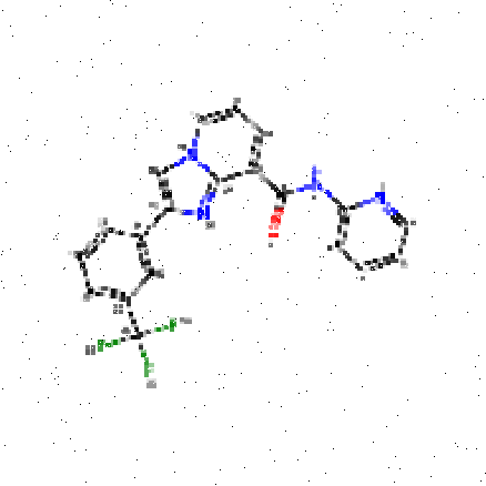 O=C(Nc1ccccn1)c1cccn2cc(-c3cccc(C(F)(F)F)c3)nc12